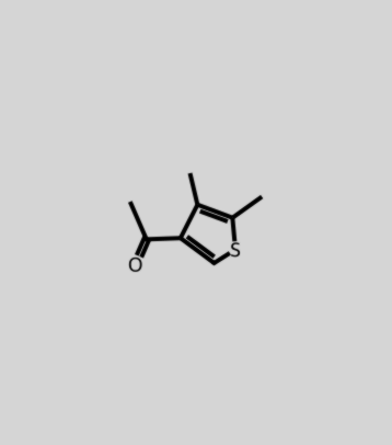 CC(=O)c1csc(C)c1C